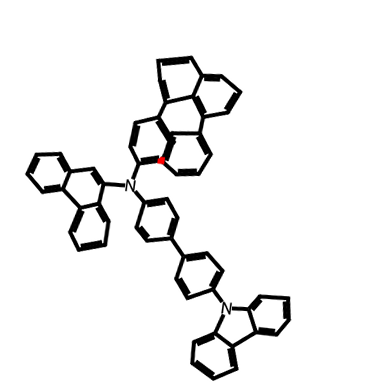 c1ccc(-c2cccc3cccc(-c4ccc(N(c5ccc(-c6ccc(-n7c8ccccc8c8ccccc87)cc6)cc5)c5cc6ccccc6c6ccccc56)cc4)c23)cc1